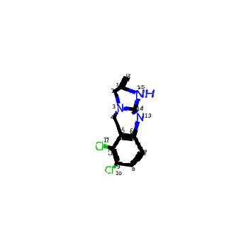 C=C1CN2Cc3c(ccc(Cl)c3Cl)N=C2N1